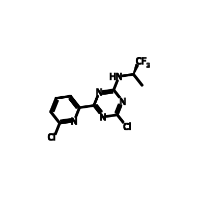 C[C@@H](Nc1nc(Cl)nc(-c2cccc(Cl)n2)n1)C(F)(F)F